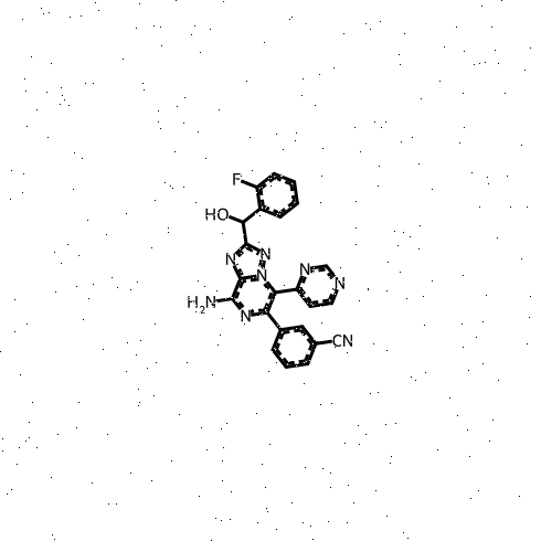 N#Cc1cccc(-c2nc(N)c3nc(C(O)c4ccccc4F)nn3c2-c2ccncn2)c1